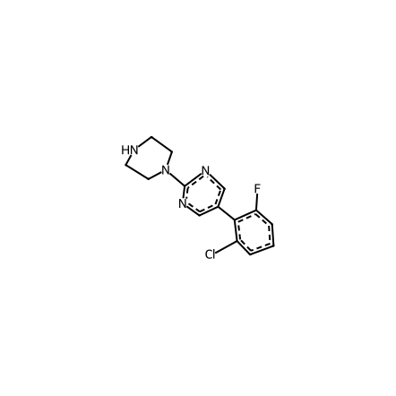 Fc1cccc(Cl)c1-c1cnc(N2CCNCC2)nc1